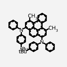 Cc1cc(N(c2ccccc2)c2ccc(C(C)(C)C)cc2)c2ccc3c(N(c4ccccc4)c4ccc(C(C)(C)C)cc4)cc(C)c4c5ccccc5c1c2c34